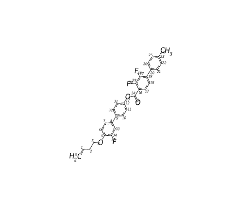 C=CCCOc1ccc(-c2ccc(OC(=O)c3ccc(-c4ccc(C)cc4)c(F)c3F)cc2)cc1F